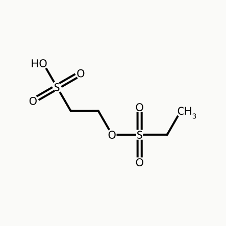 CCS(=O)(=O)OCCS(=O)(=O)O